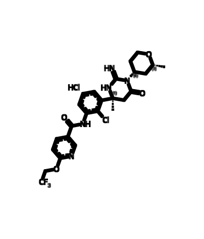 C[C@@H]1C[C@H](N2C(=N)N[C@](C)(c3cccc(NC(=O)c4ccc(OCC(F)(F)F)nc4)c3Cl)CC2=O)CCO1.Cl